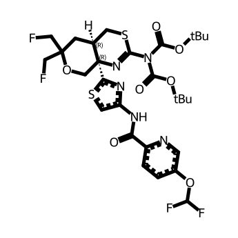 CC(C)(C)OC(=O)N(C(=O)OC(C)(C)C)C1=N[C@@]2(c3nc(NC(=O)c4ccc(OC(F)F)cn4)cs3)COC(CF)(CF)C[C@H]2CS1